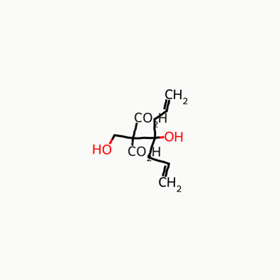 C=CCC(O)(CC=C)C(CO)(C(=O)O)C(=O)O